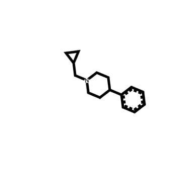 [CH]1CN(CC2CC2)CCC1c1ccccc1